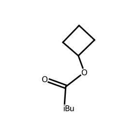 CCC(C)C(=O)OC1CCC1